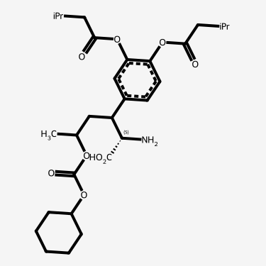 CC(C)CC(=O)Oc1ccc(C(CC(C)OC(=O)OC2CCCCC2)[C@H](N)C(=O)O)cc1OC(=O)CC(C)C